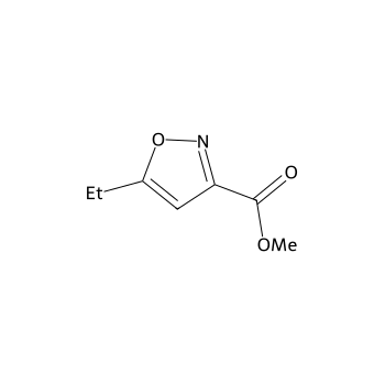 CCc1cc(C(=O)OC)no1